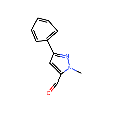 Cn1nc(-c2ccccc2)cc1C=O